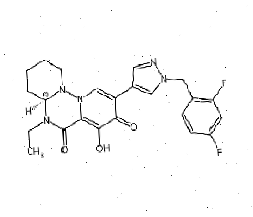 CCN1C(=O)c2c(O)c(=O)c(-c3cnn(Cc4ccc(F)cc4F)c3)cn2N2CCCC[C@H]12